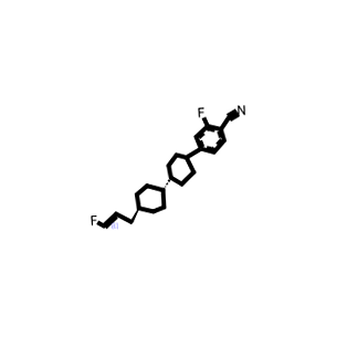 N#Cc1ccc(C2CCC([C@H]3CC[C@H](C/C=C/F)CC3)CC2)cc1F